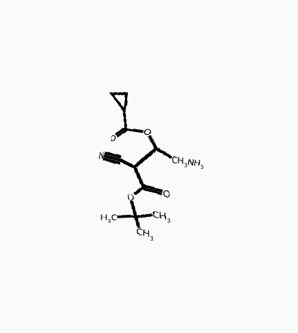 CC(OC(=O)C1CC1)C(C#N)C(=O)OC(C)(C)C.N